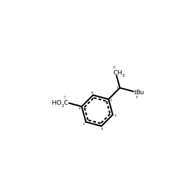 CC(c1cccc(C(=O)O)c1)C(C)(C)C